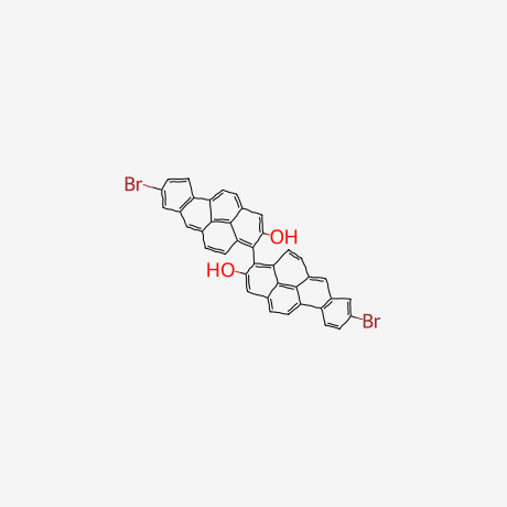 Oc1cc2ccc3c4ccc(Br)cc4cc4ccc(c1-c1c(O)cc5ccc6c7ccc(Br)cc7cc7ccc1c5c76)c2c43